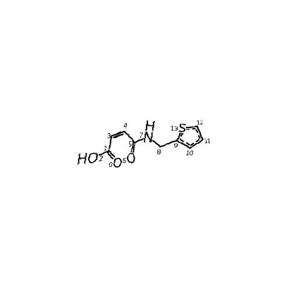 O=C(O)/C=C\C(=O)NCc1cccs1